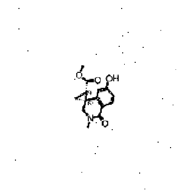 COC(=O)[C@H]1C[C@]12CN(C)C(=O)c1ccc(O)cc12